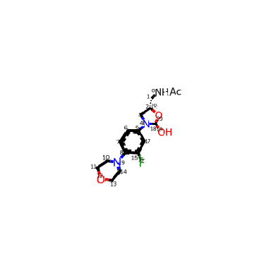 CC(=O)NC[C@H]1CN(c2ccc(N3CCOCC3)c(F)c2)C(O)O1